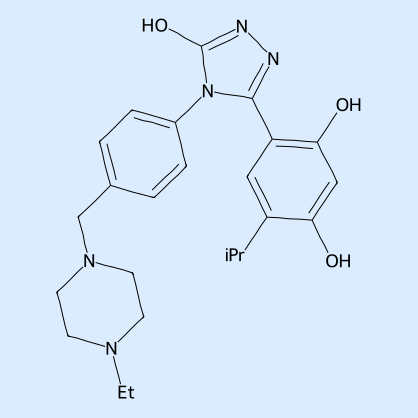 [CH2]CN1CCN(Cc2ccc(-n3c(O)nnc3-c3cc(C(C)C)c(O)cc3O)cc2)CC1